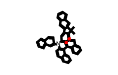 CC1(C)c2ccc(N(c3ccc4ccccc4c3)c3ccc4ccccc4c3-c3cccc4ccccc34)cc2-c2cc3ccccc3cc21